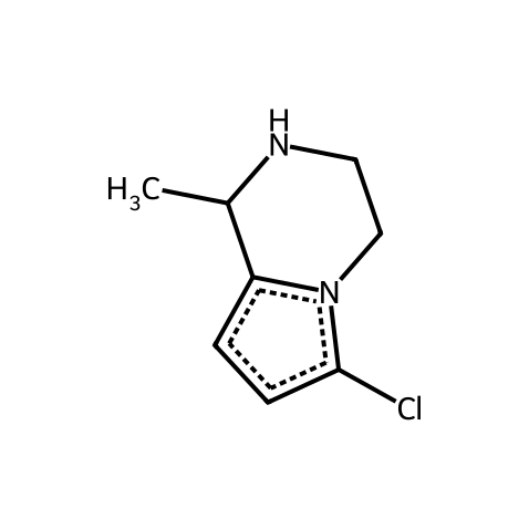 CC1NCCn2c(Cl)ccc21